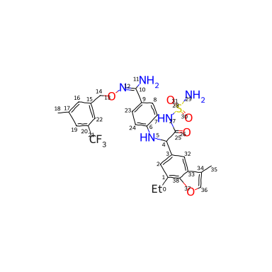 CCc1cc(C(Nc2ccc(/C(N)=N\OCc3cc(C)cc(C(F)(F)F)c3)cc2)C(=O)NS(N)(=O)=O)cc2c(C)coc12